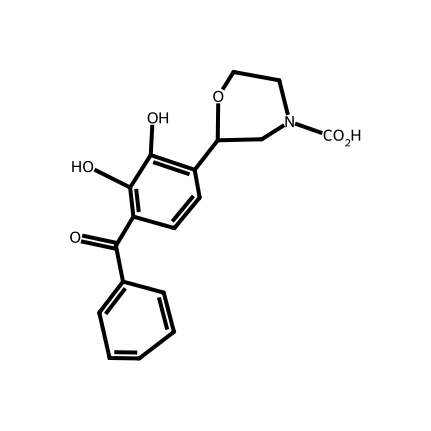 O=C(c1ccccc1)c1ccc(C2CN(C(=O)O)CCO2)c(O)c1O